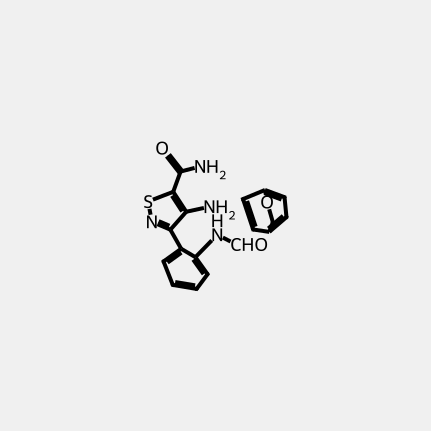 NC(=O)c1snc(-c2ccccc2NC=O)c1N.c1cc2ccc1CO2